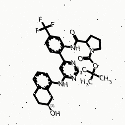 CC(C)(C)OC(=O)N1CCCC1C(=O)Nc1cc(C(F)(F)F)ccc1-c1cc(Nc2cccc3c2C[C@@H](O)CC3)ncn1